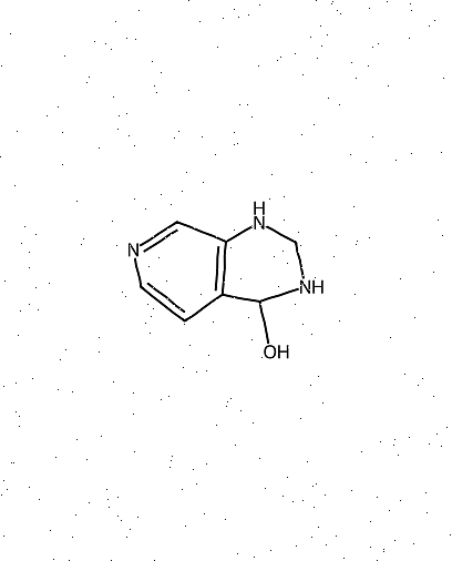 OC1NCNc2cnccc21